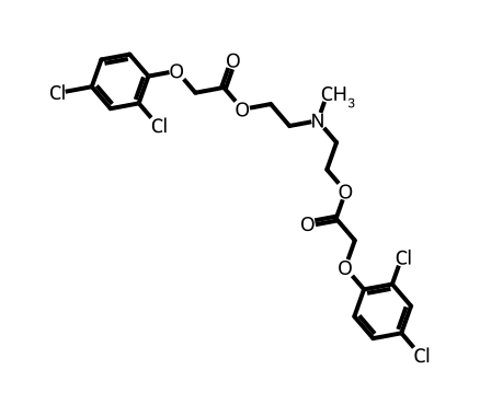 CN(CCOC(=O)COc1ccc(Cl)cc1Cl)CCOC(=O)COc1ccc(Cl)cc1Cl